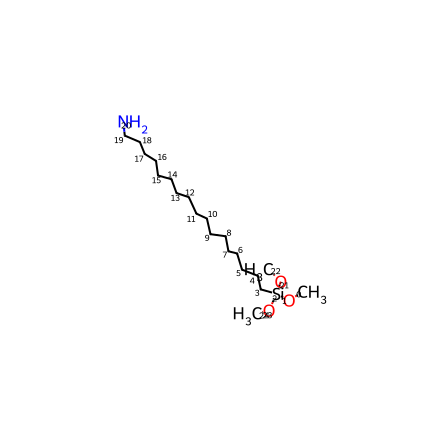 CO[Si](CCCCCCCCCCCCCCCCCN)(OC)OC